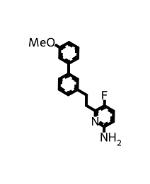 COc1cccc(-c2cccc(CCc3nc(N)ccc3F)c2)c1